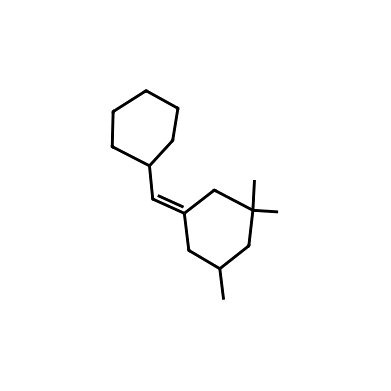 CC1CC(=CC2CCCCC2)CC(C)(C)C1